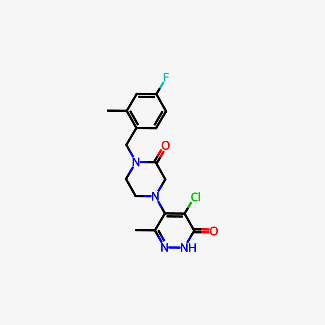 Cc1cc(F)ccc1CN1CCN(c2c(C)n[nH]c(=O)c2Cl)CC1=O